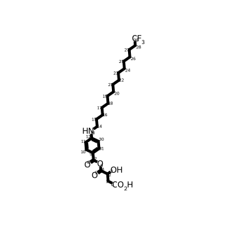 O=C(O)CC(O)C(=O)OC(=O)c1ccc(NCCCCCCCCCCCCCCCC(F)(F)F)cc1